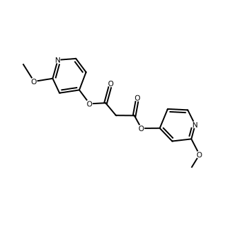 COc1cc(OC(=O)CC(=O)Oc2ccnc(OC)c2)ccn1